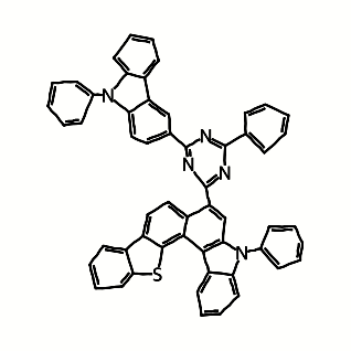 c1ccc(-c2nc(-c3ccc4c(c3)c3ccccc3n4-c3ccccc3)nc(-c3cc4c(c5ccccc5n4-c4ccccc4)c4c3ccc3c5ccccc5sc34)n2)cc1